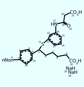 CCCCCCCCCc1ccc(C(CCCCC(=O)O)Sc2cccc(NC(=O)CC(=O)O)c2)cc1.[NaH].[NaH]